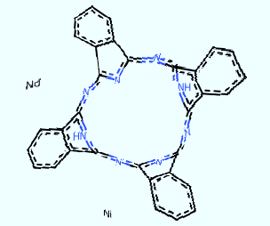 [Nd].[Ni].c1ccc2c(c1)-c1nc-2nc2[nH]c(nc3nc(nc4[nH]c(n1)c1ccccc41)-c1ccccc1-3)c1ccccc21